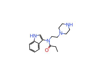 CCC(=O)N(CCN1CCNCC1)c1c[nH]c2ccccc12